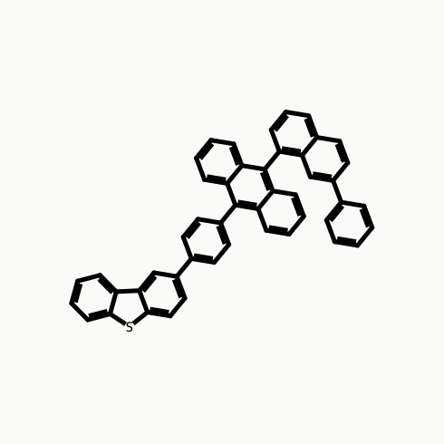 c1ccc(-c2ccc3cccc(-c4c5ccccc5c(-c5ccc(-c6ccc7sc8ccccc8c7c6)cc5)c5ccccc45)c3c2)cc1